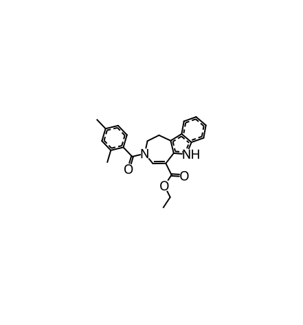 CCOC(=O)C1=CN(C(=O)c2ccc(C)cc2C)CCc2c1[nH]c1ccccc21